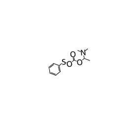 CC(OC(=O)OSc1ccccc1)N(C)C